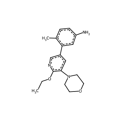 CCOc1ncc(-c2cc(N)ccc2C)cc1N1CCOCC1